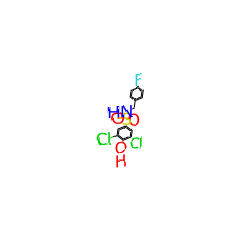 O=S(=O)(NCc1ccc(F)cc1)c1cc(Cl)c(O)c(Cl)c1